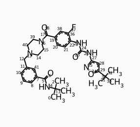 CC(C)(C)NC(=O)c1cccc(CN2CCN(C(=O)c3ccc(NC(=O)Nc4cc(C(C)(C)C)on4)c(F)c3)CC2)c1